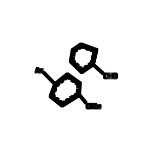 COc1ccc(C(C)=O)cc1.O=Cc1ccccc1